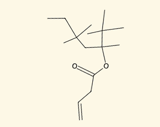 C=CCC(=O)OC(C)(CC(C)(C)CC)C(C)(C)C